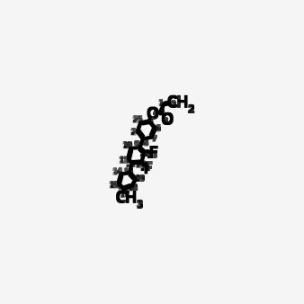 C=CC(=O)Oc1ccc(-c2ccc(-c3ccc(C)cc3)c(F)c2F)cc1